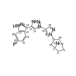 CN1C2CCC1CC(n1cc(-n3cc(-c4n[nH]c5cc(F)ccc45)nn3)cn1)C2